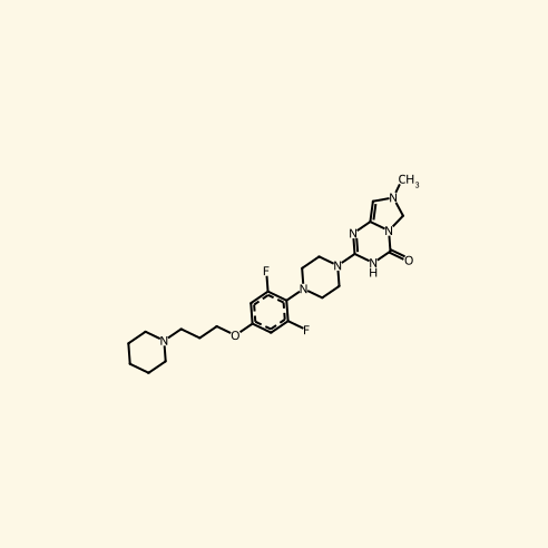 CN1C=C2N=C(N3CCN(c4c(F)cc(OCCCN5CCCCC5)cc4F)CC3)NC(=O)N2C1